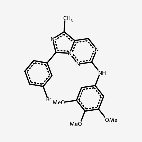 COc1cc(Nc2ncc3c(C)nc(-c4cccc(Br)c4)n3n2)cc(OC)c1OC